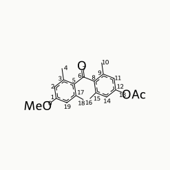 COc1cc(C)c(C(=O)c2c(C)cc(OC(C)=O)cc2C)c(C)c1